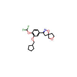 FC(F)Oc1ccc(C2=NOC3(CCOC3)C2)cc1OCC1CCCC1